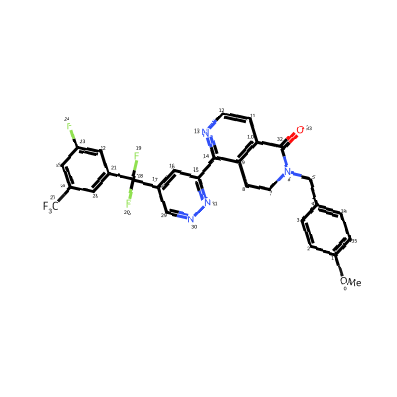 COc1ccc(CN2CCc3c(ccnc3-c3cc(C(F)(F)c4cc(F)cc(C(F)(F)F)c4)cnn3)C2=O)cc1